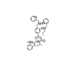 CC(Cc1c[nH]c2ccccc12)NC(=O)[C@@H](CCCNCc1ccccn1)C(=O)c1ccc(CNCc2ccccn2)cc1